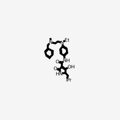 CCN(CCN(C)Cc1ccccc1)c1ccc(NC(=O)C2=C(O)C(CC(C)C)NC2=O)cc1